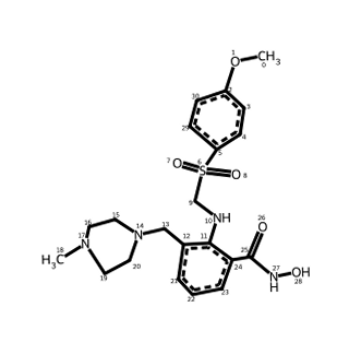 COc1ccc(S(=O)(=O)CNc2c(CN3CCN(C)CC3)cccc2C(=O)NO)cc1